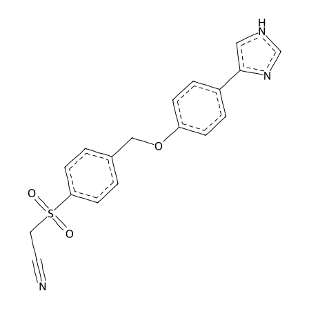 N#CCS(=O)(=O)c1ccc(COc2ccc(-c3c[nH]cn3)cc2)cc1